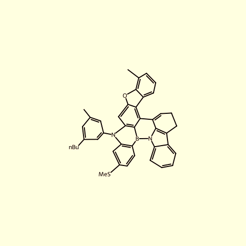 CCCCc1cc(C)cc(N2c3cc(SC)ccc3B3c4c2cc2oc5c(C)cccc5c2c4C2=CCCc4c2n3c2ccccc42)c1